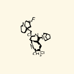 Cc1nc2cc(OC[C@@]34CCCN3C[C@H](F)C4)nc(N3CC4CCC(C4)C3)c2cc1Cl